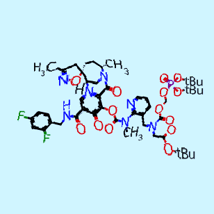 CC1=NO[C@@]2(CC[C@H](C)N3C[C@H]2n2cc(C(=O)NCc4ccc(F)cc4F)c(=O)c(OC(=O)N(C)c4ncccc4CN(CC(=O)OC(C)(C)C)C(=O)OCOP(=O)(OC(C)(C)C)OC(C)(C)C)c2C3=O)C1